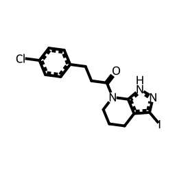 O=C(CCc1ccc(Cl)cc1)N1CCCc2c(I)n[nH]c21